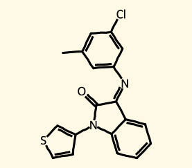 Cc1cc(Cl)cc(N=C2C(=O)N(c3ccsc3)c3ccccc32)c1